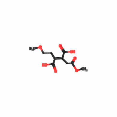 COCC/C(C(=O)O)=C(/CC(=O)OC)C(=O)O